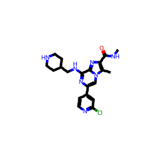 CNC(=O)c1nc2c(NCC3CCNCC3)nc(-c3ccnc(Cl)c3)cn2c1C